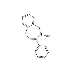 CC(=O)N1Cc2ccccc2SC=C1c1ccccc1